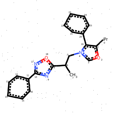 CC(C)c1oc[n+](CC(C)c2nc(-c3ccccc3)no2)c1-c1ccccc1